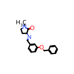 CN1CCC(N=Cc2cccc(OCc3ccccc3)c2)C1=O